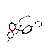 Cc1cccc(CC2(c3cccc(N4CCC[C@@H](C)C4)c3)CN(C[C@@H](O)C(F)(F)F)c3ccccc32)c1